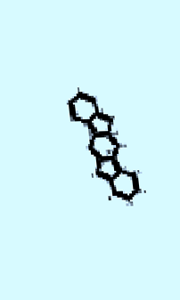 C1=c2ccccc2=c2cc3c(cc21)=c1ccccc1=C3